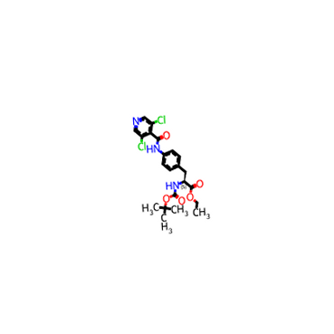 CCOC(=O)[C@H](Cc1ccc(NC(=O)c2c(Cl)cncc2Cl)cc1)NC(=O)OC(C)(C)C